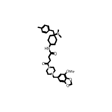 COc1cc(CN2CCN(C(=O)CCC(=O)NC3CCC(Cc4ccc(C)cc4)(N(C)C)CC3)CC2)cc2c1OCO2